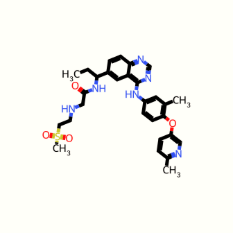 CCC(NC(=O)CNCCS(C)(=O)=O)c1ccc2ncnc(Nc3ccc(Oc4ccc(C)nc4)c(C)c3)c2c1